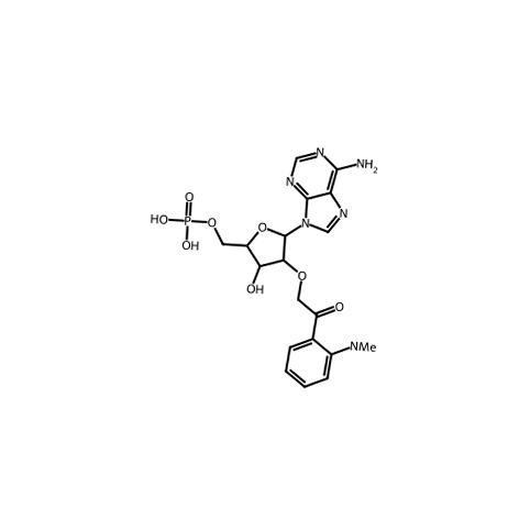 CNc1ccccc1C(=O)COC1C(O)C(COP(=O)(O)O)OC1n1cnc2c(N)ncnc21